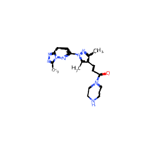 Cc1nn(-c2ccc3nnc(C)n3n2)c(C)c1CCC(=O)N1CCNCC1